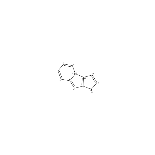 c1ccn2c(c1)cc1sccc12